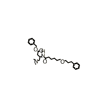 CN(C)CC(CC(=O)OCc1ccccc1)NC(=O)CCCCCOCCCc1ccccc1